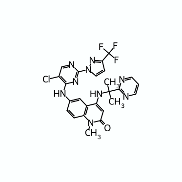 Cn1c(=O)cc(NC(C)(C)c2ncccn2)c2cc(Nc3nc(-n4ccc(C(F)(F)F)n4)ncc3Cl)ccc21